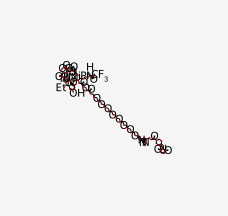 CCc1c2c(nc3ccc(O)cc13)-c1cc3c(c(=O)n1C2)COC(=O)C3(CC)OC(=O)OCC(NC(=O)C(CCCCNC(=O)C(F)(F)F)CC(=O)COCC(=O)CCCOCCOCCOCCOCCOCCOCCOCCOCCn1cc(CCC(=O)C2CCC(CN3C(=O)C=CC3=O)CC2)nn1)C(C)C